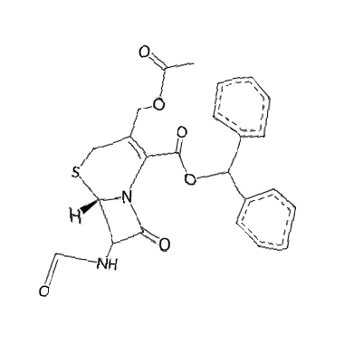 CC(=O)OCC1=C(C(=O)OC(c2ccccc2)c2ccccc2)N2C(=O)C(NC=O)[C@@H]2SC1